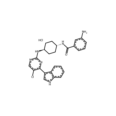 Cl.Nc1cccc(C(=O)N[C@H]2CC[C@H](Nc3ncc(Cl)c(-c4c[nH]c5ccccc45)n3)CC2)c1